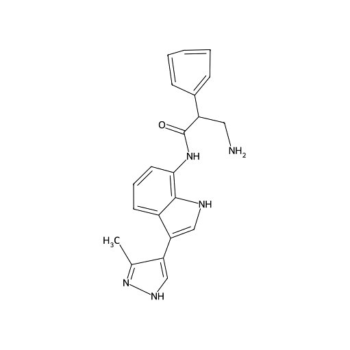 Cc1n[nH]cc1-c1c[nH]c2c(NC(=O)C(CN)c3ccccc3)cccc12